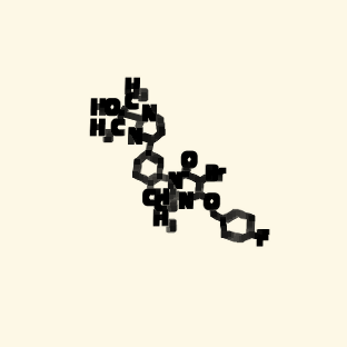 Cc1ccc(-c2ccnc(C(C)(C)O)n2)cc1-n1c(C)nc(OCc2ccc(F)cc2)c(Br)c1=O